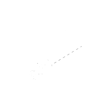 C#CC#CC#CC#CC#CC#CC#CC(=O)OC[C@H](COP(=O)(O)OC1C(O)[C@H](O)[C@H](CP(=O)(O)O)C(OP(=O)(O)O)[C@@H]1O)OC(=O)CCCCCCCCCCCCCCC